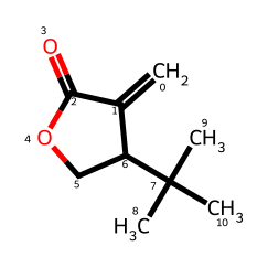 C=C1C(=O)OCC1C(C)(C)C